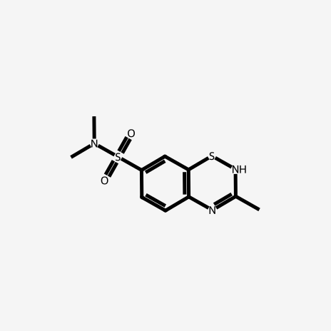 CC1=Nc2ccc(S(=O)(=O)N(C)C)cc2SN1